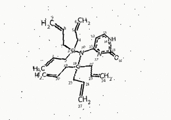 C=CC[Si](CC=C)(CC=C)N(c1cc[nH]c(=O)n1)[Si](CC=C)(CC=C)CC=C